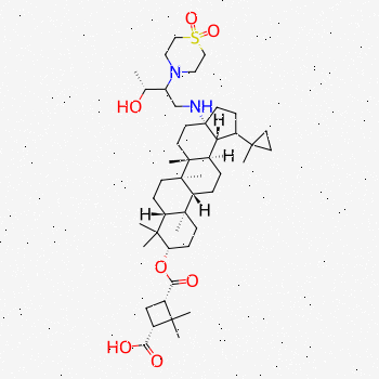 C[C@@H](O)C(CN[C@]12CCC(C3(C)CC3)[C@@H]1[C@H]1CC[C@@H]3[C@@]4(C)CC[C@H](OC(=O)[C@H]5C[C@@H](C(=O)O)C5(C)C)C(C)(C)[C@@H]4CC[C@@]3(C)[C@]1(C)CC2)N1CCS(=O)(=O)CC1